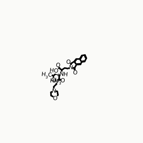 CC(C)C[C@@H](NC(CCN1C(=O)c2cc3ccccc3cc2C1=O)C(=O)O)C(=O)NCCN1CCOCC1